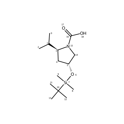 CC(C)[C@@H]1C[C@@H](O[Si](C)(C)C(C)(C)C)CN1C(=O)O